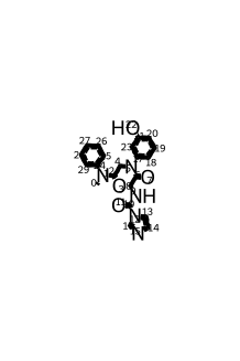 CN(C(=O)CN(C(=O)CNC(=O)n1ccnc1)c1cccc(O)c1)c1ccccc1